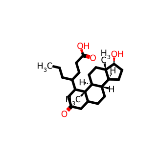 CCCC(CCC(=O)O)C1CC(=O)CC2CC[C@@H]3[C@H](CC[C@]4(C)[C@@H](O)CC[C@@H]34)[C@]21C